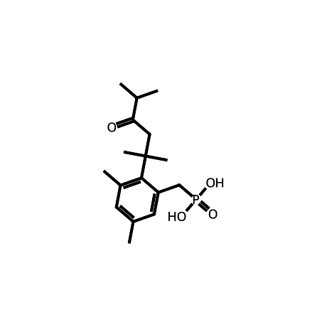 Cc1cc(C)c(C(C)(C)CC(=O)C(C)C)c(CP(=O)(O)O)c1